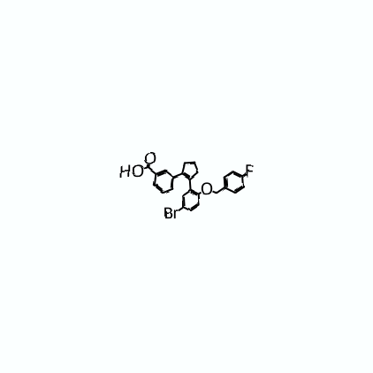 O=C(O)c1cccc(C2=C(c3cc(Br)ccc3OCc3ccc(F)cc3)CCC2)c1